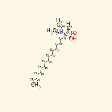 C=C(C(=O)O)C(CCCCCCCCCCCCCCCCC)N(CC)CC